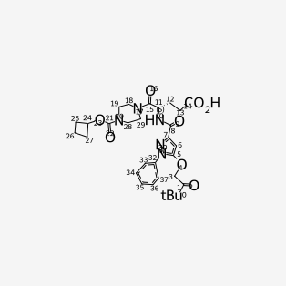 CC(C)(C)C(=O)COc1cc(C(=O)N[C@@H](CCC(=O)O)C(=O)N2CCN(C(=O)OC3CCC3)CC2)nn1-c1ccccc1